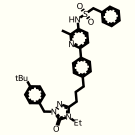 CCn1c(CCCc2ccc(-c3ccc(NS(=O)(=O)Cc4ccccc4)c(C)n3)cc2)nn(Cc2ccc(C(C)(C)C)cc2)c1=O